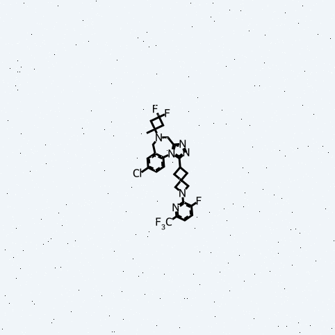 CC1(N2Cc3cc(Cl)ccc3-n3c(nnc3C3CC4(C3)CN(c3nc(C(F)(F)F)ccc3F)C4)C2)CC(F)(F)C1